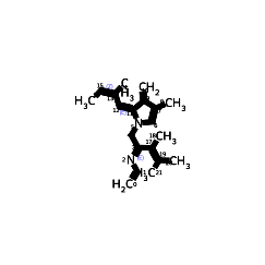 C=C/N=C(/Cn1cc(C)c(=C)/c1=C\C(C)=C/C)C(C)=C(C)C